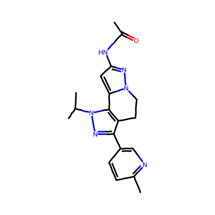 CC(=O)Nc1cc2n(n1)CCc1c(-c3ccc(C)nc3)nn(C(C)C)c1-2